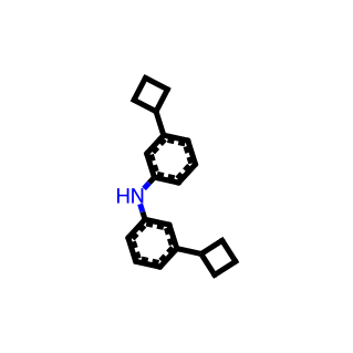 c1cc(Nc2cccc(C3CCC3)c2)cc(C2CCC2)c1